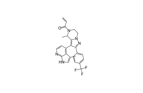 C=CC(=O)N1CCn2nc(-c3ccc(C(F)(F)F)cc3)c(-c3ccnc4[nH]cc(C)c34)c2C1C